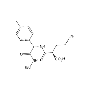 Cc1ccc([C@H](NC(=O)[C@@H](CCC(C)C)C(=O)O)C(=O)NC(C)(C)C)cc1